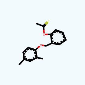 CC(=S)Oc1ccccc1COc1ccc(C)cc1C